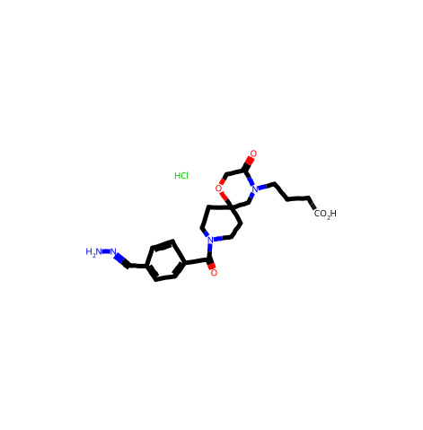 Cl.NN=Cc1ccc(C(=O)N2CCC3(CC2)CN(CCCC(=O)O)C(=O)CO3)cc1